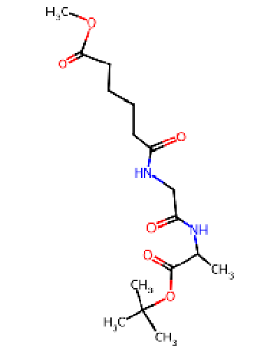 COC(=O)CCCCC(=O)NCC(=O)NC(C)C(=O)OC(C)(C)C